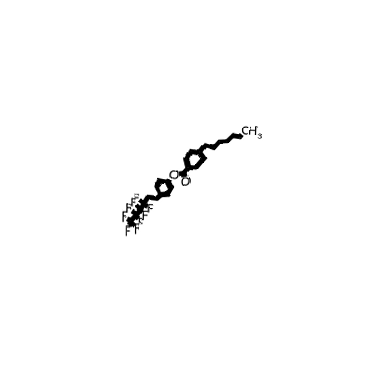 CCCCCCCC1CCC(C(=O)Oc2ccc(CCC(F)(F)C(F)(F)C(F)(F)C(F)(F)F)cc2)CC1